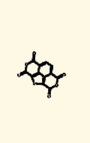 O=C1OC(=O)c2sc3c4c(ccc1c24)C(=O)OC3=O